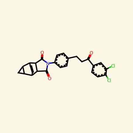 O=C(CCc1ccc(N2C(=O)C3C4C=CC(C5CC45)C3C2=O)cc1)c1ccc(Cl)c(Cl)c1